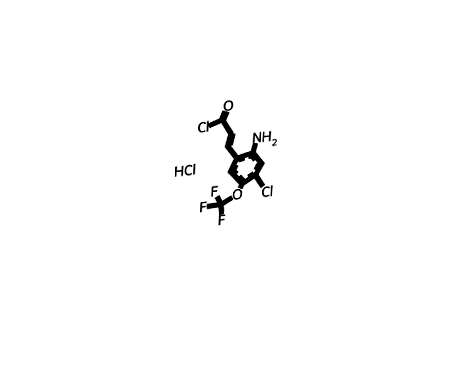 Cl.Nc1cc(Cl)c(OC(F)(F)F)cc1C=CC(=O)Cl